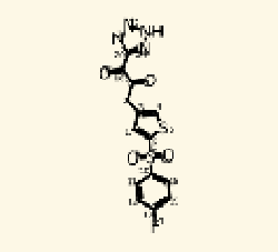 O=C(Cc1csc(S(=O)(=O)c2ccc(F)cc2)c1)C(=O)c1nn[nH]n1